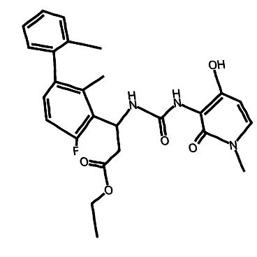 CCOC(=O)CC(NC(=O)Nc1c(O)ccn(C)c1=O)c1c(F)ccc(-c2ccccc2C)c1C